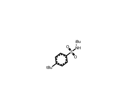 CC[C@@H](C)NS(=O)(=O)c1ccc(C(C)(C)C)cc1